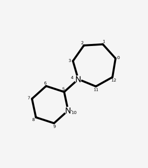 C1CCCN(C2CCCC[N]2)CC1